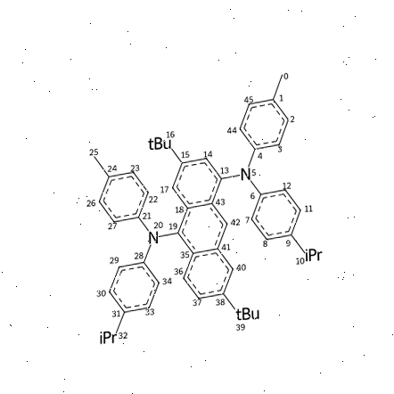 Cc1ccc(N(c2ccc(C(C)C)cc2)c2cc(C(C)(C)C)cc3c(N(c4ccc(C)cc4)c4ccc(C(C)C)cc4)c4ccc(C(C)(C)C)cc4cc23)cc1